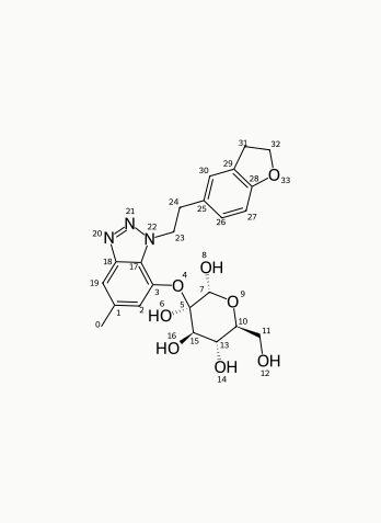 Cc1cc(O[C@@]2(O)[C@H](O)O[C@@H](CO)[C@H](O)[C@H]2O)c2c(c1)nnn2CCc1ccc2c(c1)CCO2